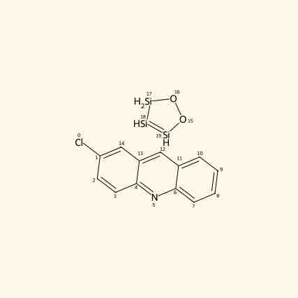 Clc1ccc2nc3ccccc3cc2c1.O1O[SiH2][SiH]=[SiH]1